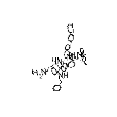 C=CC[C@@H](NS(C)(=O)=O)C(=O)N1C[C@H](OCc2ccc(Cl)cc2)C[C@H]1C(=O)N[C@@H](CCCCN)C(=O)C(=O)NCCc1ccccc1